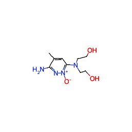 Cc1cc(N(CCO)CCO)[n+]([O-])nc1N